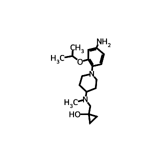 CC(C)Oc1cc(N)ccc1N1CCC(N(C)CC2(O)CC2)CC1